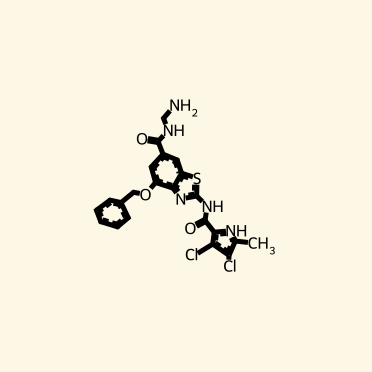 Cc1[nH]c(C(=O)Nc2nc3c(OCc4ccccc4)cc(C(=O)NCN)cc3s2)c(Cl)c1Cl